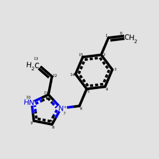 C=Cc1ccc(C[n+]2cc[nH]c2C=C)cc1